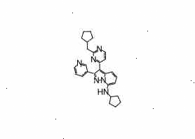 c1cncc(-c2nn3c(NC4CCCC4)cccc3c2-c2ccnc(CC3CCCC3)n2)c1